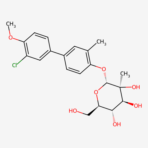 COc1ccc(-c2ccc(O[C@H]3O[C@H](CO)[C@@H](O)[C@H](O)[C@]3(C)O)c(C)c2)cc1Cl